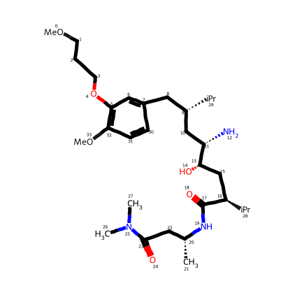 COCCCOc1cc(C[C@@H](C[C@H](N)[C@@H](O)C[C@H](C(=O)N[C@H](C)CC(=O)N(C)C)C(C)C)C(C)C)ccc1OC